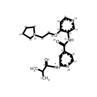 CC(C)C(=O)Nc1cc(C(=O)Nc2cnccc2OCCN2CCCC2)ccn1